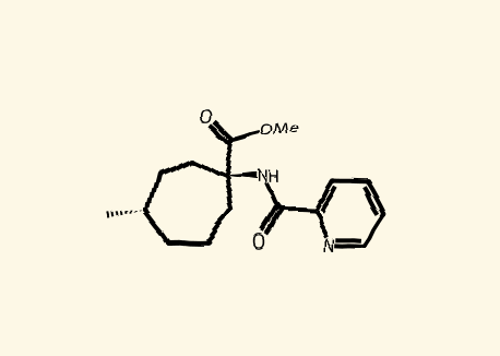 COC(=O)[C@]1(NC(=O)c2ccccn2)CCC[C@H](C)CC1